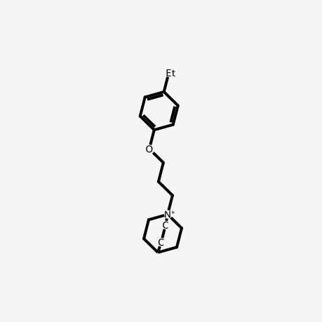 CCc1ccc(OCCC[N+]23CCC(CC2)CC3)cc1